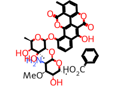 CO[C@@H]1[C@@H](N)[C@@H](O[C@H]2[C@H](Oc3cccc4c(O)c5c(=O)oc6ccc(C)c7c(=O)oc(c34)c5c67)O[C@H](C)[C@H](O)[C@]2(C)O)O[C@H](C)[C@@H]1O.O=C(O)c1ccccc1